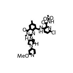 COc1cc(N2C[C@H]3C[C@@H]2CN3c2nc3c([C@@H](C)Nc4ccc(Cl)nc4C(=O)NS(C)(=O)=O)cc(C)cc3c(=O)n2C)ccn1